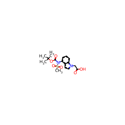 CC(C)(C)OC(=O)N(c1cccc2c1ccn2CC(=O)O)S(C)(=O)=O